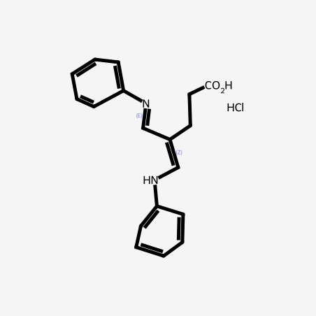 Cl.O=C(O)CCC(=C/Nc1ccccc1)/C=N/c1ccccc1